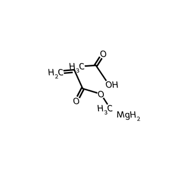 C=CC(=O)OC.CC(=O)O.[MgH2]